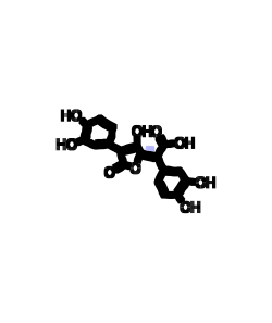 O=C1O/C(=C(/C(=O)O)c2ccc(O)c(O)c2)C(O)=C1c1ccc(O)c(O)c1